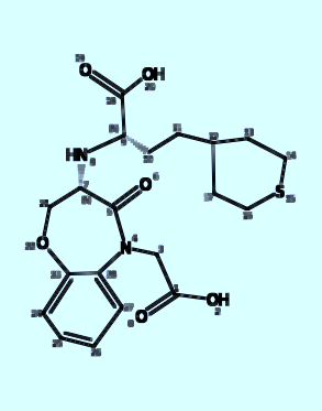 O=C(O)CN1C(=O)[C@@H](N[C@@H](CCC2CCSCC2)C(=O)O)COc2ccccc21